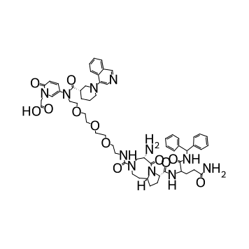 NC(=O)CCC(NC(=O)[C@@H]1CC[C@@H]2CCN(C(=O)NCCOCCOCCOCCN(C(=O)[C@H]3CCCN(c4cncc5ccccc45)C3)c3ccc(=O)n(CC(=O)O)c3)C[C@H](N)C(=O)N21)C(=O)NC(c1ccccc1)c1ccccc1